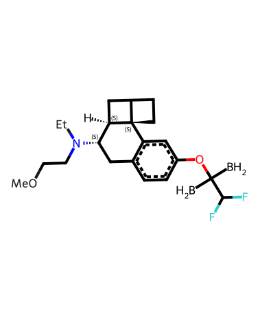 BC(B)(Oc1ccc2c(c1)[C@@]13CCC1C[C@@H]3[C@@H](N(CC)CCOC)C2)C(F)F